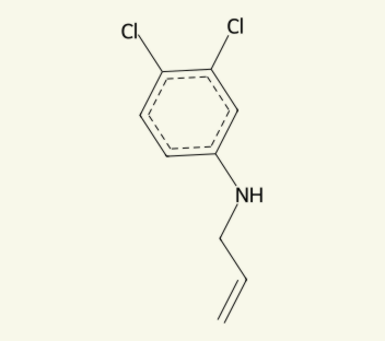 C=CCNc1ccc(Cl)c(Cl)c1